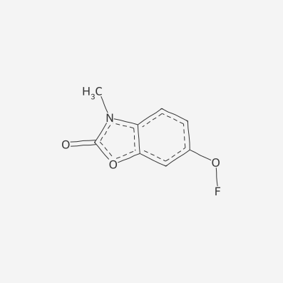 Cn1c(=O)oc2cc(OF)ccc21